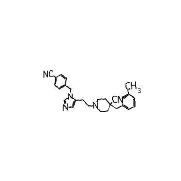 Cc1cccc(CC2(C#N)CCN(CCc3cncn3Cc3ccc(C#N)cc3)CC2)c1